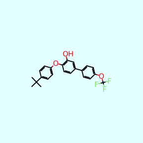 CC(C)(C)c1ccc(Oc2ccc(-c3ccc(OC(F)(F)F)cc3)cc2O)cc1